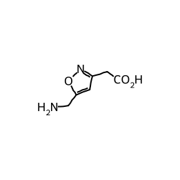 NCc1cc(CC(=O)O)no1